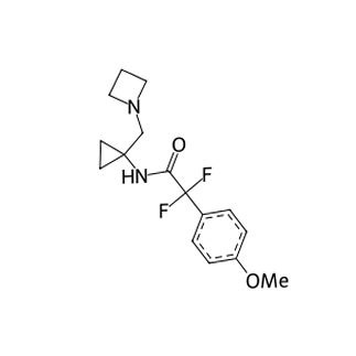 COc1ccc(C(F)(F)C(=O)NC2(CN3CCC3)CC2)cc1